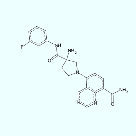 NC(=O)c1ccc(N2CCC(N)(C(=O)Nc3cccc(F)c3)C2)c2cncnc12